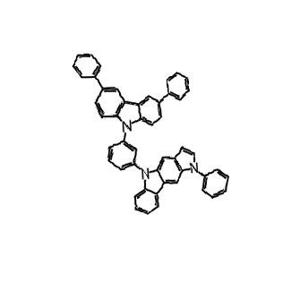 c1ccc(-c2ccc3c(c2)c2cc(-c4ccccc4)ccc2n3-c2cccc(-n3c4ccccc4c4cc5c(ccn5-c5ccccc5)cc43)c2)cc1